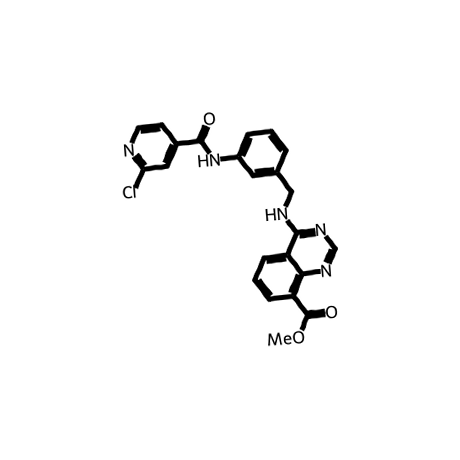 COC(=O)c1cccc2c(NCc3cccc(NC(=O)c4ccnc(Cl)c4)c3)ncnc12